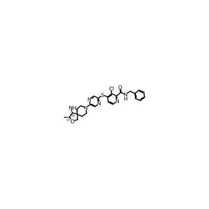 C[C@@H]1OCC2(CCN(c3cnc(Sc4ccnc(C(=O)NCc5ccccc5)c4Cl)cn3)CC2)[C@@H]1N